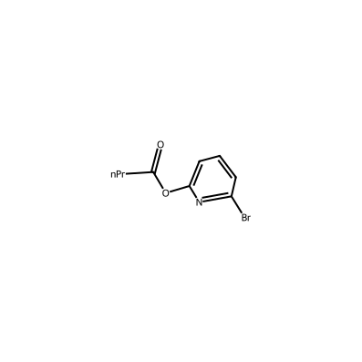 CCCC(=O)Oc1cccc(Br)n1